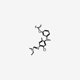 CCN(C)C=Nc1cc(C)c(N(C)c2cccc(OC(F)F)c2)cc1Cl